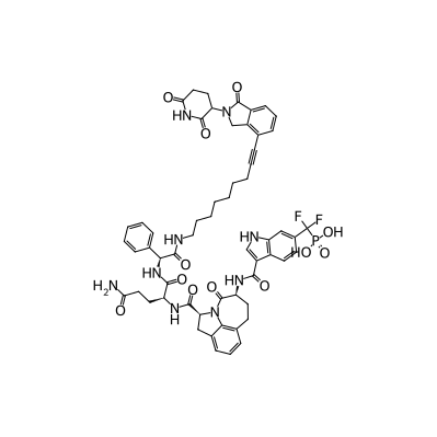 NC(=O)CC[C@H](NC(=O)[C@@H]1Cc2cccc3c2N1C(=O)[C@@H](NC(=O)c1c[nH]c2cc(C(F)(F)P(=O)(O)O)ccc12)CC3)C(=O)N[C@H](C(=O)NCCCCCCCC#Cc1cccc2c1CN(C1CCC(=O)NC1=O)C2=O)c1ccccc1